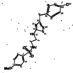 COc1ccc(S(=O)(=O)NCCNc2nc(Cc3ccc(Cl)cc3)ns2)cc1